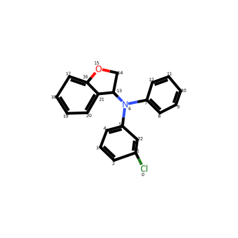 Clc1cccc(N(c2ccccc2)C2COc3ccccc32)c1